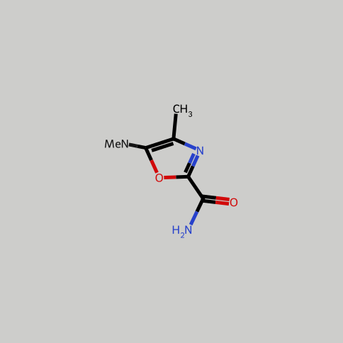 CNc1oc(C(N)=O)nc1C